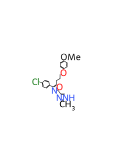 COc1ccc(OCCCc2oc(-c3c[nH]c(C)n3)nc2-c2ccc(Cl)cc2)cc1